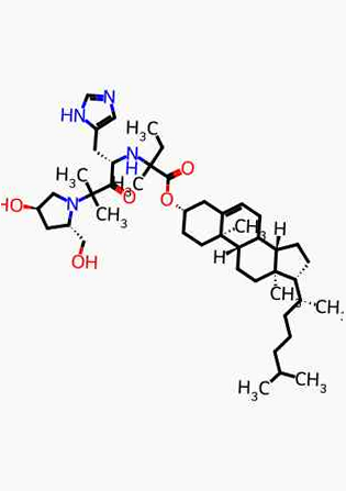 CCC(C)(N[C@@H](Cc1cnc[nH]1)C(=O)C(C)(C)N1C[C@H](O)C[C@H]1CO)C(=O)O[C@H]1CC[C@@]2(C)C(=CCC3[C@@H]4CC[C@H]([C@H](C)CCCC(C)C)[C@@]4(C)CC[C@@H]32)C1